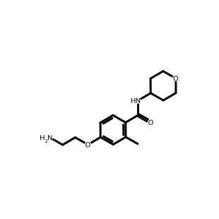 Cc1cc(OCCN)ccc1C(=O)NC1CCOCC1